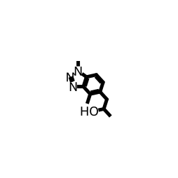 Cc1c(CC(C)O)ccc2c1nnn2C